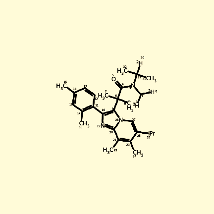 [2H]C([2H])N(C(=O)C(C)(C)c1c(-c2ccc(C)cc2C)nc2c(C)c(C)c(C(C)C)cn12)C([2H])(C)C